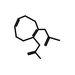 C=C(C)CC1=C(CC(=C)C)CCC=CCC1